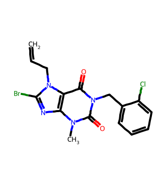 C=CCn1c(Br)nc2c1c(=O)n(Cc1ccccc1Cl)c(=O)n2C